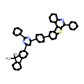 CC1(C)c2ccccc2-c2ccc(-c3cc(-c4ccc(-c5ccc6sc7c(-c8ccccc8)nc8ccccc8c7c6c5)cc4)nc(-c4ccccc4)n3)cc21